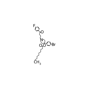 CCCCCCCCCC(=O)OC1(c2ccc(Br)cc2)CCN(CCCC(=O)c2ccc(F)cc2)CC1